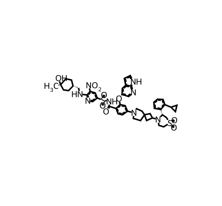 C[C@]1(O)CC[C@H](CNc2ncc(S(=O)(=O)NC(=O)c3ccc(N4CCC5(CC4)CC(N4CCS(=O)(=O)C[C@H]4c4ccccc4C4CC4)C5)cc3Oc3cnc4[nH]ccc4c3)cc2[N+](=O)[O-])CC1